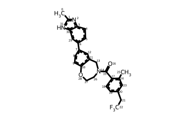 Cc1nc2ccc(-c3ccc4c(c3)CN(C(=O)c3ccc(CC(F)(F)F)cc3C)CCO4)cc2[nH]1